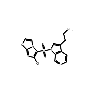 NCCc1cn(S(=O)(=O)c2c(Cl)nc3sccn23)c2cnccc12